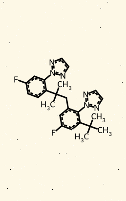 CC(C)(C)c1cc(F)cc(CC(C)(C)c2ccc(F)cc2-n2nccn2)c1-n1nccn1